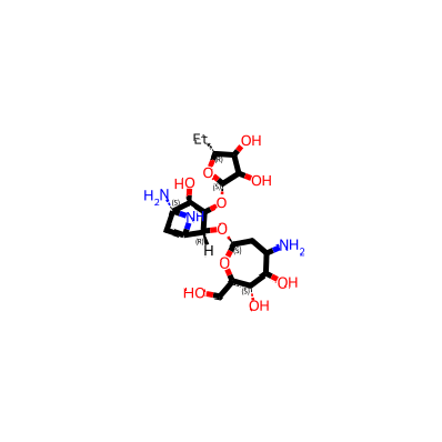 CC[C@H]1O[C@@H](OC2C(O)[C@]3(N)CC(N3)[C@H]2O[C@@H]2CC(N)C(O)[C@H](O)C(CO)O2)C(O)C1O